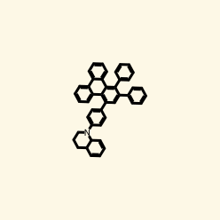 C1=CC2CCCN(c3ccc(-c4cc(-c5ccccc5)c(-c5ccccc5)c5c6ccccc6c6ccccc6c45)cc3)C2C=C1